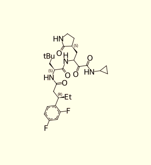 CC[C@H](CC(=O)N[C@@H](CC(C)(C)C)C(=O)NC(C[C@@H]1CCNC1=O)C(=O)C(=O)NC1CC1)c1ccc(F)cc1F